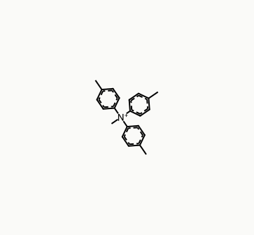 Cc1ccc([N+](C)(c2ccc(C)cc2)c2ccc(C)cc2)cc1